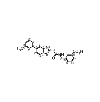 O=C(Cc1nc2cc(-c3cccc(C(F)(F)F)c3)ccc2s1)NCc1cccc(C(=O)O)c1